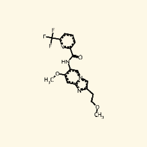 COCCc1cn2cc(NC(=O)c3cccc(C(F)(F)F)n3)c(OC)cc2n1